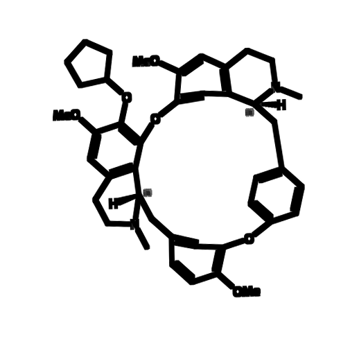 COc1ccc2cc1Oc1ccc(cc1)C[C@H]1c3cc(c(OC)cc3CCN1C)Oc1c(OC3CCCC3)c(OC)cc3c1[C@H](C2)N(C)CC3